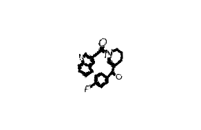 O=C(c1ccc(F)cc1)C1CCCN(C(=O)c2cnc3ccccc3c2)C1